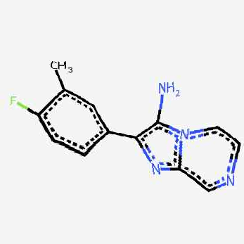 Cc1cc(-c2nc3cnccn3c2N)ccc1F